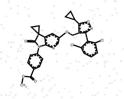 COC(=O)c1ccc(N2C(=O)C3(CC3)c3cc(OCc4c(-c5c(Cl)cccc5Cl)noc4C4CC4)cnc32)cc1